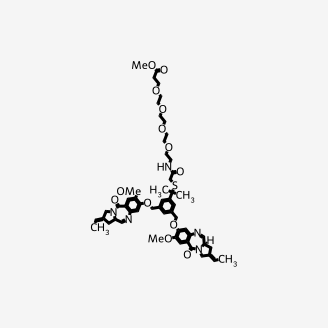 C/C=C1\CC2C=Nc3cc(OCc4cc(COc5cc6c(cc5OC)C(=O)N5C/C(=C/C)C[C@H]5C=N6)cc(C(C)(C)SCC(=O)NCCOCCOCCOCCOCCC(=O)OC)c4)c(OC)cc3C(=O)N2C1